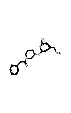 NCc1cc(O[C@H]2CCCN(C(=O)Cc3ccccc3)C2)nc(C(F)(F)F)c1